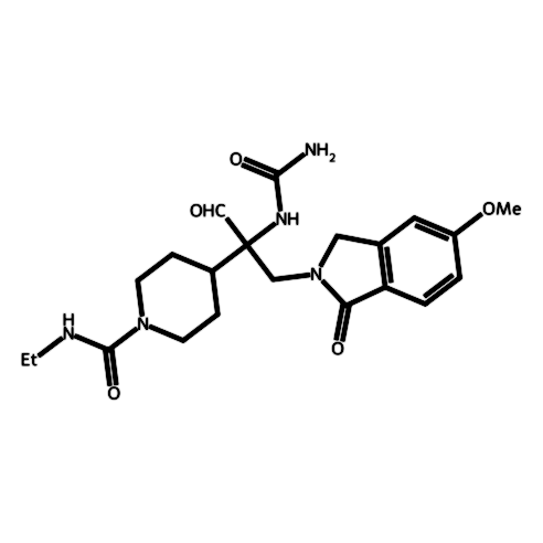 CCNC(=O)N1CCC(C(C=O)(CN2Cc3cc(OC)ccc3C2=O)NC(N)=O)CC1